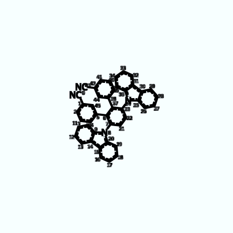 N#Cc1cccc(-c2c(-n3c4ccccc4c4ccccc43)ccc(-n3c4ccccc4c4ccccc43)c2-c2cccc(C#N)c2)c1